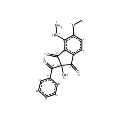 COc1ccc2c(c1NN)C(=O)C(O)(C(=O)c1ccccc1)C2=O